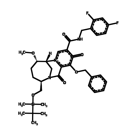 CO[C@H]1CC[C@H](CO[Si](C)(C)C(C)(C)C)N2C[C@H]1n1cc(C(=O)NCc3ccc(F)cc3F)c(=O)c(OCc3ccccc3)c1C2=O